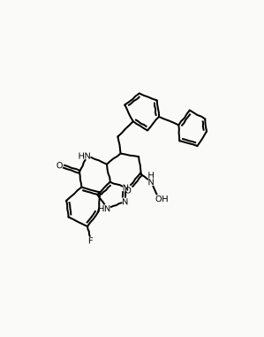 O=C(CC(Cc1cccc(-c2ccccc2)c1)C(NC(=O)c1ccc(F)cc1)c1c[nH]nn1)NO